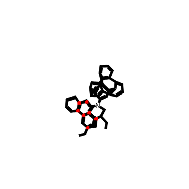 CCCCC(C1=CCC2C=CC=CC2C1)C(CC)CN(c1c#cc2c(c1)-c1c3cccc1-c1cccc-2c1-c1ccccc1-3)c1cccc2ccccc12